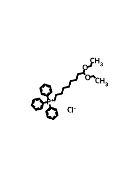 CCOC(CCCCCCCC[P+](c1ccccc1)(c1ccccc1)c1ccccc1)OCC.[Cl-]